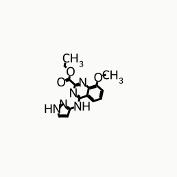 CCOC(=O)c1nc(Nc2cc[nH]n2)c2cccc(OC)c2n1